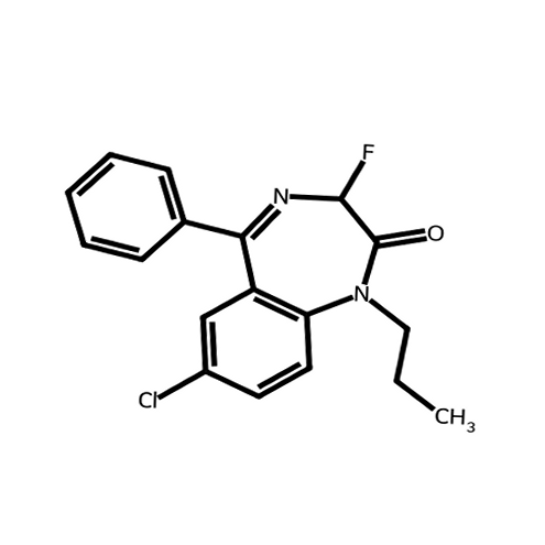 CCCN1C(=O)C(F)N=C(c2ccccc2)c2cc(Cl)ccc21